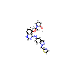 CC(C)(Oc1cccc2ncnc(Nc3ccc4c(cnn4Cc4nccs4)c3)c12)N1CCCC1=O